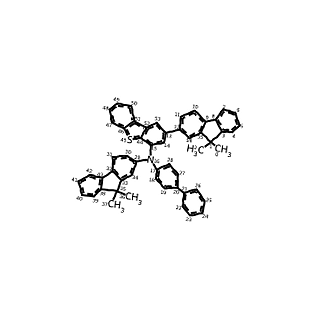 CC1(C)c2ccccc2-c2ccc(-c3cc(N(c4ccc(-c5ccccc5)cc4)c4ccc5c(c4)C(C)(C)c4ccccc4-5)c4sc5ccccc5c4c3)cc21